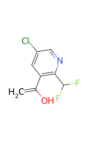 C=C(O)c1cc(Cl)cnc1C(F)F